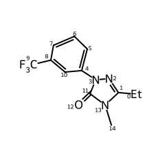 CCc1nn(-c2cccc(C(F)(F)F)c2)c(=O)n1C